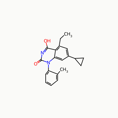 CCc1cc(C2CC2)cc2c1c(O)nc(=O)n2-c1ccccc1C